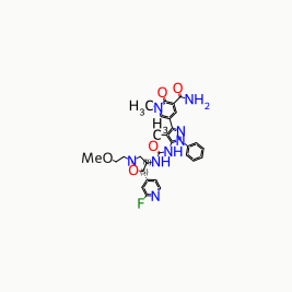 COCCN1C[C@@H](NC(=O)Nc2c(C)c(-c3cc(C(N)=O)c(=O)n(C)c3)nn2-c2ccccc2)[C@H](c2ccnc(F)c2)O1